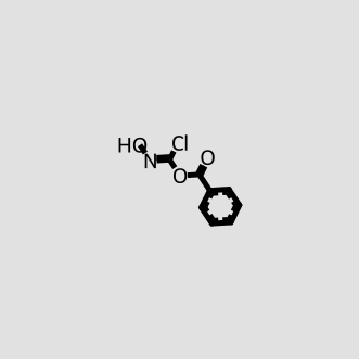 O=C(OC(Cl)=NO)c1ccccc1